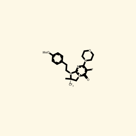 COc1ccc(CCN2c3nc(N4CCOCC4)c(F)c(=O)n3C[C@]2(C)C(F)(F)F)cc1